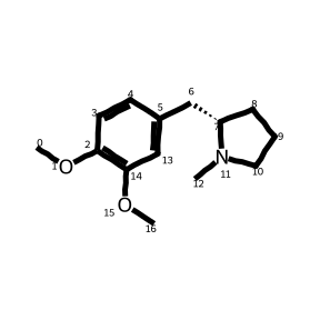 COc1ccc(C[C@@H]2CCCN2C)cc1OC